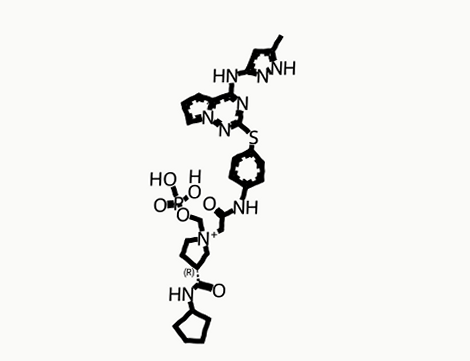 Cc1cc(Nc2nc(Sc3ccc(NC(=O)C[N+]4(COP(=O)(O)O)CC[C@@H](C(=O)NC5CCCC5)C4)cc3)nn3cccc23)n[nH]1